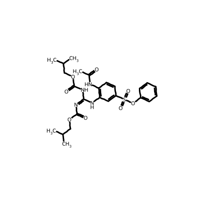 CC(=O)Nc1ccc(S(=O)(=O)Oc2ccccc2)cc1N/C(=N\C(=O)OCC(C)C)NC(=O)OCC(C)C